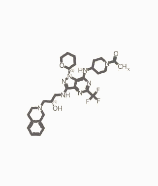 CC(=O)N1CCC(Nc2nc(C(F)(F)F)nc3c(NC[C@H](O)CN4CCc5ccccc5C4)nn([C@@H]4CCCCO4)c23)CC1